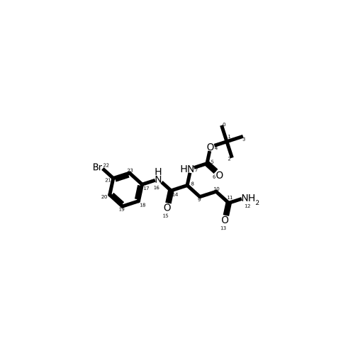 CC(C)(C)OC(=O)NC(CCC(N)=O)C(=O)Nc1cccc(Br)c1